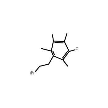 Cc1c(C)c(F)c(C)c(CCC(C)C)c1C